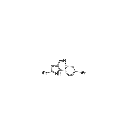 CC(C)c1ccc2c(c1)ncc1cc(C(C)C)[nH]c12